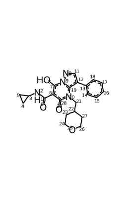 O=C(NC1CC1)c1c(O)n2ncc(-c3ccccc3)c2n(CC2CCOCC2)c1=O